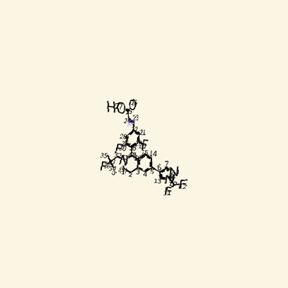 C[C@H]1Cc2cc(-c3cnn(C(F)F)c3)ccc2[C@H](c2c(F)cc(/C=C/C(=O)O)cc2F)N1CC(C)(C)F